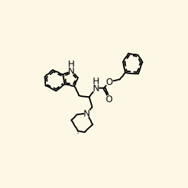 O=C(NC(Cc1c[nH]c2ccccc12)CN1CC[CH]CC1)OCc1ccccc1